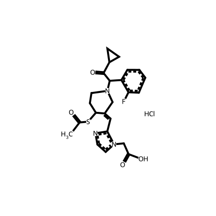 CC(=O)SC1CCN(C(C(=O)C2CC2)c2ccccc2F)CC1=Cc1nccn1CC(=O)O.Cl